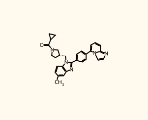 Cc1ccc2c(c1)nc(-c1ccc(-c3cccc4nccn34)cc1)n2C[C@@H]1CCN(C(=O)C2CC2)C1